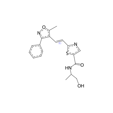 Cc1onc(-c2ccccc2)c1/C=C/c1ncc(C(=O)NC(C)CO)s1